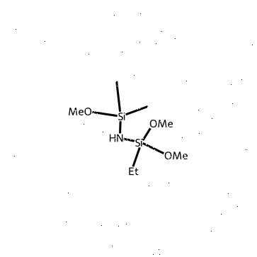 CC[Si](N[Si](C)(C)OC)(OC)OC